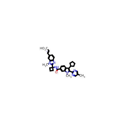 Cc1cnc(-c2c(C3CCCC3)c3ccc(C(=O)NC4(c5nc6ccc(/C=C/C(=O)O)cc6n5C)CCC4)cc3n2C)nc1